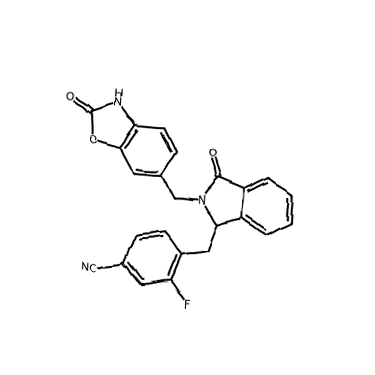 N#Cc1ccc(CC2c3ccccc3C(=O)N2Cc2ccc3[nH]c(=O)oc3c2)c(F)c1